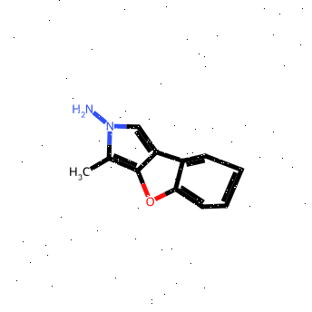 Cc1c2oc3ccccc3c2cn1N